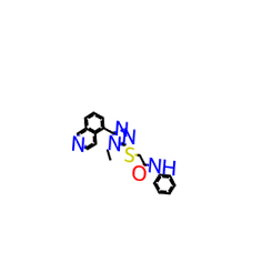 CCn1c(SCC(=O)Nc2ccccc2)nnc1-c1cccc2cnccc12